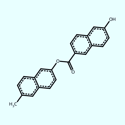 Cc1ccc2cc(OC(=O)c3ccc4cc(O)ccc4c3)ccc2c1